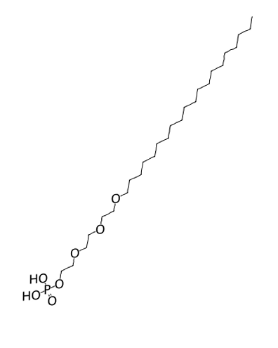 CCCCCCCCCCCCCCCCCCCCOCCOCCOCCOP(=O)(O)O